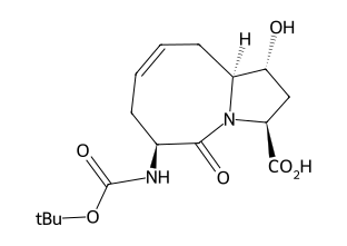 CC(C)(C)OC(=O)N[C@H]1CC=CC[C@H]2[C@H](O)C[C@@H](C(=O)O)N2C1=O